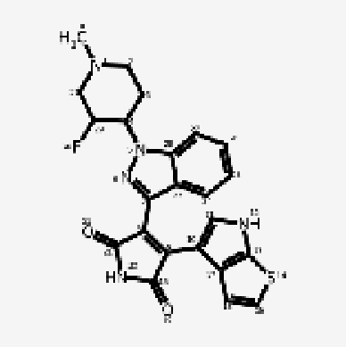 CN1CCC(n2nc(C3=C(c4c[nH]c5sccc45)C(=O)NC3=O)c3ccccc32)C(F)C1